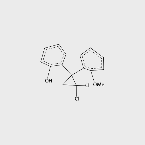 COc1ccccc1C1(c2ccccc2O)CC1(Cl)Cl